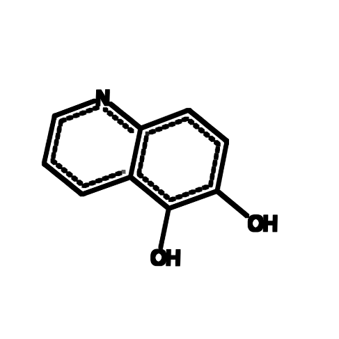 Oc1ccc2ncccc2c1O